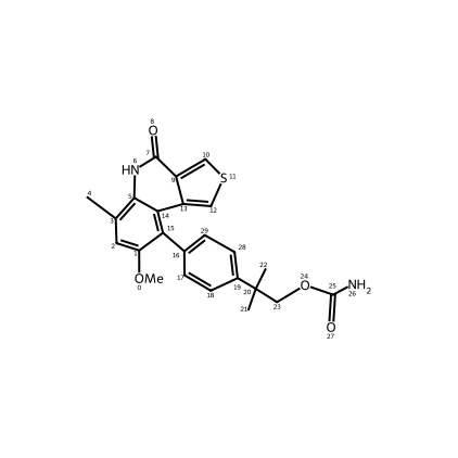 COc1cc(C)c2[nH]c(=O)c3cscc3c2c1-c1ccc(C(C)(C)COC(N)=O)cc1